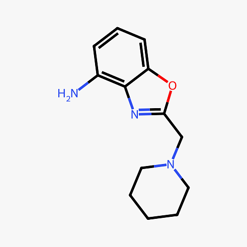 Nc1cccc2oc(CN3CCCCC3)nc12